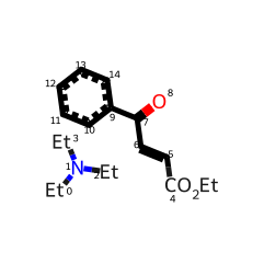 CCN(CC)CC.CCOC(=O)C=CC(=O)c1ccccc1